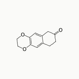 O=C1CCc2cc3c(cc2C1)OCCO3